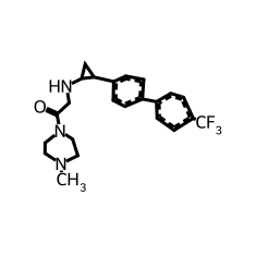 CN1CCN(C(=O)CNC2CC2c2ccc(-c3ccc(C(F)(F)F)cc3)cc2)CC1